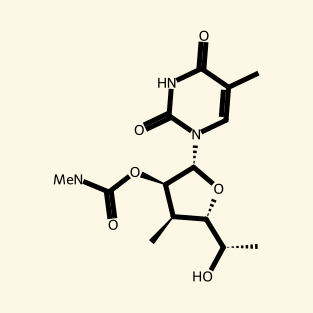 CNC(=O)O[C@@H]1[C@H](C)[C@@H]([C@H](C)O)O[C@H]1n1cc(C)c(=O)[nH]c1=O